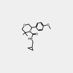 COc1ccc(C2COCC(C)(C)N2C(=O)NCC2CC2)cc1